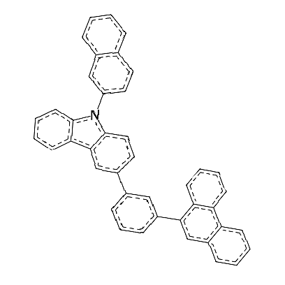 c1cc(-c2ccc3c(c2)c2ccccc2n3-c2ccc3ccccc3c2)cc(-c2cc3ccccc3c3ccccc23)c1